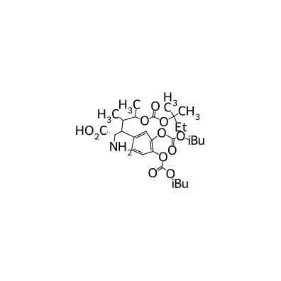 CCC(C)OC(=O)Oc1ccc(C(C(C)C(C)OC(=O)OC(C)(C)CC)[C@H](N)C(=O)O)cc1OC(=O)OC(C)CC